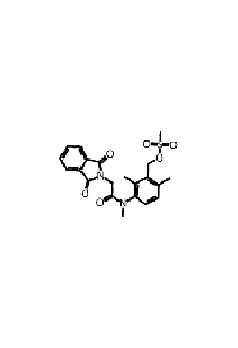 Cc1ccc(N(C)C(=O)CN2C(=O)c3ccccc3C2=O)c(C)c1COS(C)(=O)=O